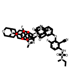 CCN(C)S(=O)(=O)Nc1ccc(F)c(Oc2ccc3ncn([C@H]4COC5(CCC(N6C7COCC6CC(c6cc8c(cc6F)c(N6CCC(=O)NC6=O)nn8C)C7)CC5)C4)c(=O)c3c2)c1C#N